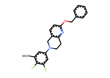 COc1cc(N2CCc3nc(OCc4ccccc4)ccc3C2)cc(F)c1F